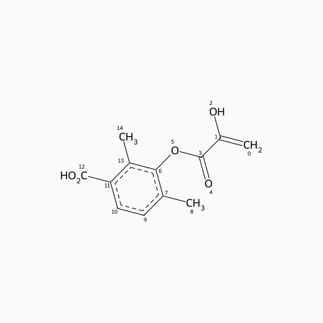 C=C(O)C(=O)Oc1c(C)ccc(C(=O)O)c1C